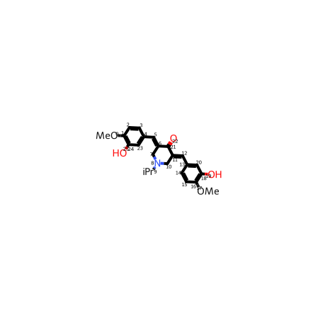 COc1ccc(/C=C2\CN(C(C)C)C/C(=C\c3ccc(OC)c(O)c3)C2=O)cc1O